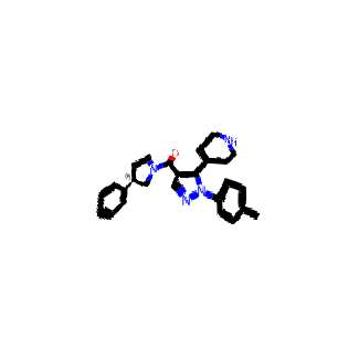 Cc1ccc(-n2ncc(C(=O)N3CC[C@H](c4ccccc4)C3)c2C2CCNCC2)cc1